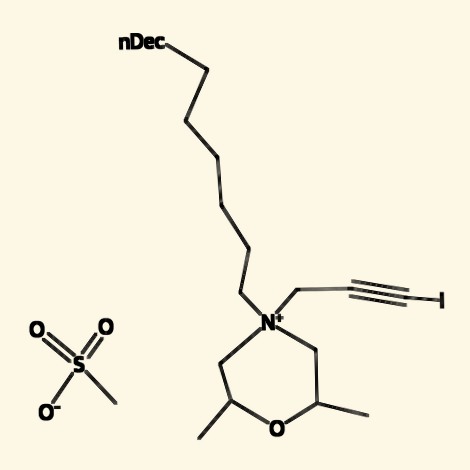 CCCCCCCCCCCCCCCC[N+]1(CC#CI)CC(C)OC(C)C1.CS(=O)(=O)[O-]